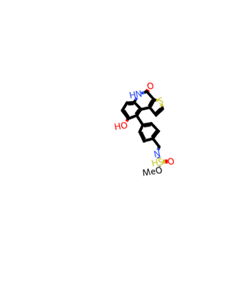 CO[SH](=O)=NCc1ccc(-c2c(O)ccc3[nH]c(=O)c4sccc4c23)cc1